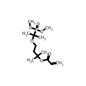 C=CC(=O)OC(C)(C)CCOC(C)(C)P(=O)(OC)OC